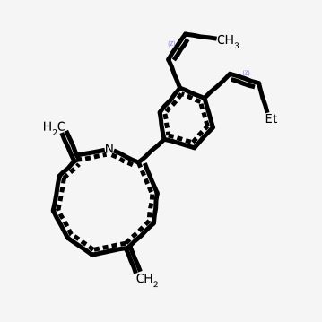 C=c1ccccc(=C)nc(-c2ccc(/C=C\CC)c(/C=C\C)c2)cc1